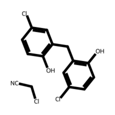 N#CCCl.Oc1ccc(Cl)cc1Cc1cc(Cl)ccc1O